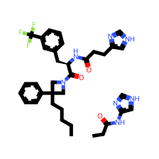 CCC(=O)Nc1c[nH]cn1.CCCCCC1(c2ccccc2)CN(C(=O)[C@@H](Cc2cccc(C(F)(F)F)c2)NC(=O)CCc2c[nH]cn2)C1